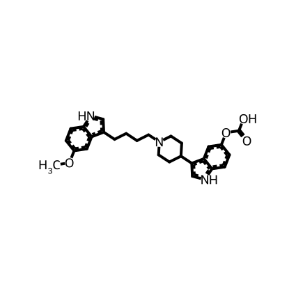 COc1ccc2[nH]cc(CCCCN3CCC(c4c[nH]c5ccc(OC(=O)O)cc45)CC3)c2c1